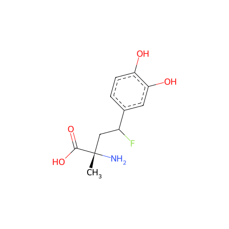 C[C@](N)(CC(F)c1ccc(O)c(O)c1)C(=O)O